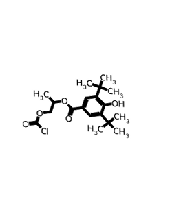 CC(COC(=O)Cl)OC(=O)c1cc(C(C)(C)C)c(O)c(C(C)(C)C)c1